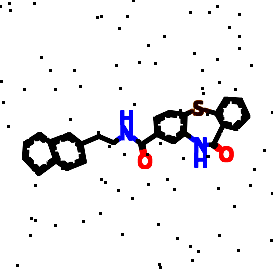 O=C(NCCc1ccc2ccccc2c1)c1ccc2c(c1)NC(=O)c1ccccc1S2